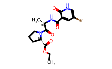 CCOC(=O)[C@@H]1CCCN1C(=O)[C@H](C)NC(=O)c1cc(Br)c[nH]c1=O